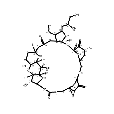 C=C1C[C@@H]2CCC(=O)CC3O[C@H]4[C@@H](O)[C@H]5O[C@H](CC[C@@H]5O[C@H]4[C@H]3O)CC(=O)CC3[C@@H](OC)C(C[C@H](O)CO)O[C@H]3C[C@H]3OC(CCC1O2)C[C@@H](C)C3=C